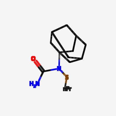 CCCSN(C(N)=O)C12CC3CC(CC(C3)C1)C2